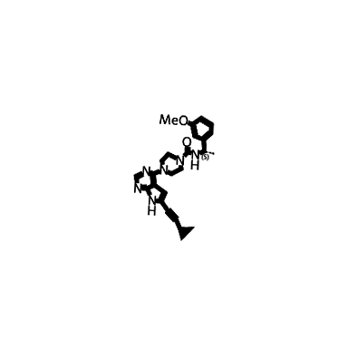 COc1cccc([C@H](C)NC(=O)N2CCN(c3ncnc4[nH]c(C#CC5CC5)cc34)CC2)c1